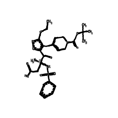 CCOc1noc(C(=O)[C@](N)(CC(=O)O)NS(=O)(=O)c2ccccc2)c1C1CCN(C(=O)OC(C)(C)C)CC1